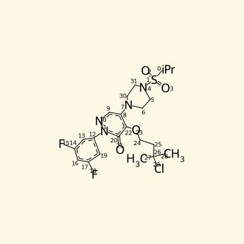 CC(C)S(=O)(=O)N1CCN(c2cnn(-c3cc(F)cc(F)c3)c(=O)c2OCCC(C)(C)Cl)CC1